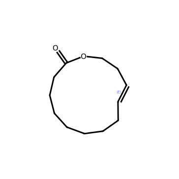 O=C1CCCCCCC/C=C/CCO1